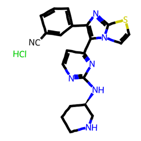 Cl.N#Cc1cccc(-c2nc3sccn3c2-c2ccnc(N[C@@H]3CCCNC3)n2)c1